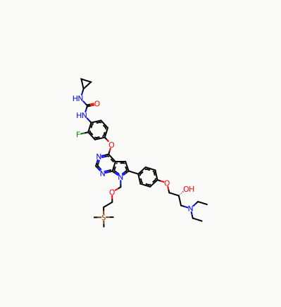 CCN(CC)C[C@@H](O)COc1ccc(-c2cc3c(Oc4ccc(NC(=O)NC5CC5)c(F)c4)ncnc3n2COCCS(C)(C)C)cc1